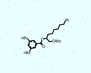 CCCCc1cc(CCCC)cc(C(=O)OC(CCCCCCC(C)C)COC)c1